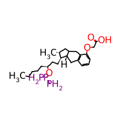 CCCCC[C@@H](CC[C@H]1[C@H](C)CC2Cc3c(cccc3OCC(=O)O)C[C@@H]21)OP(P)P